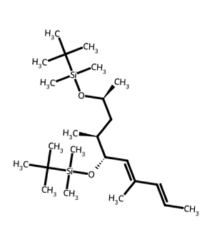 C/C=C/C(C)=C/[C@H](O[Si](C)(C)C(C)(C)C)[C@@H](C)C[C@H](C)O[Si](C)(C)C(C)(C)C